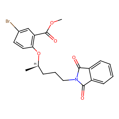 COC(=O)c1cc(Br)ccc1O[C@H](C)CCCN1C(=O)c2ccccc2C1=O